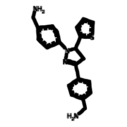 NCc1ccc(C2=NN(c3ccc(CN)cc3)C(c3cccs3)C2)cc1